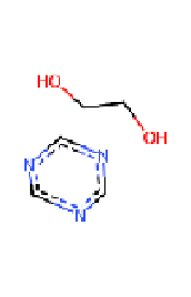 OCCO.c1ncncn1